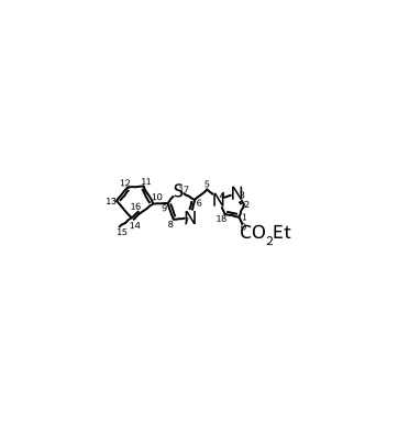 CCOC(=O)c1cnn(Cc2ncc(-c3cccc(C)c3)s2)c1